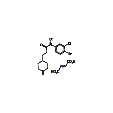 CCN(C(=O)CCC1CCNCC1)c1ccc(Br)c(Cl)c1.O=C(O)/C=C/C(=O)O